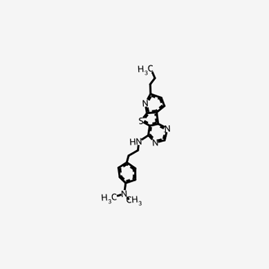 CCCc1ccc2c(n1)sc1c(NCCc3ccc(N(C)C)cc3)ncnc12